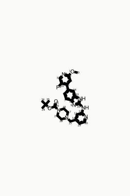 COc1cc(-c2ccc3nc(Nc4cc(CN5CCN(C(=O)OC(C)(C)C)CC5)ccn4)[nH]c3c2)c(F)cn1